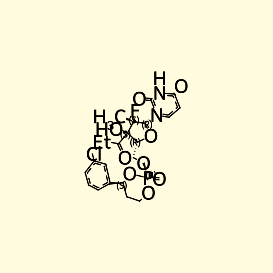 CCC(=O)[C@@]1(O)[C@@H](CO[P@@]2(=O)OCC[C@@H](c3cccc(Cl)c3)O2)O[C@@H](n2ccc(=O)[nH]c2=O)[C@@]1(C)F